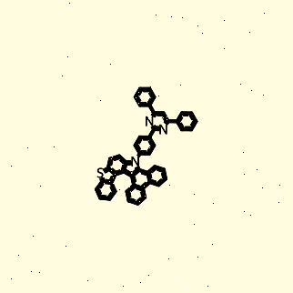 c1ccc(-c2cc(-c3ccccc3)nc(-c3ccc(-n4c5ccc6sc7ccccc7c6c5c5c6ccccc6c6ccccc6c54)cc3)n2)cc1